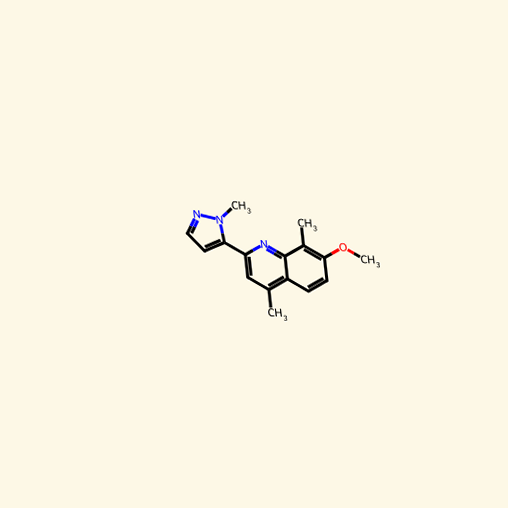 COc1ccc2c(C)cc(-c3ccnn3C)nc2c1C